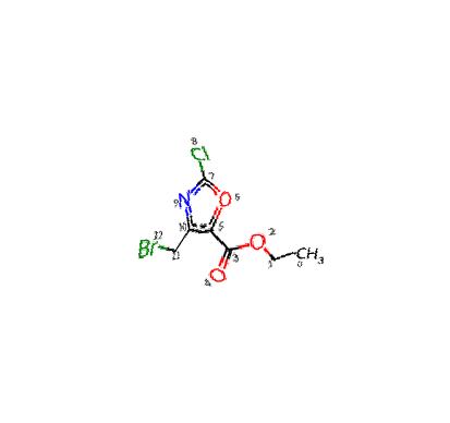 CCOC(=O)c1oc(Cl)nc1CBr